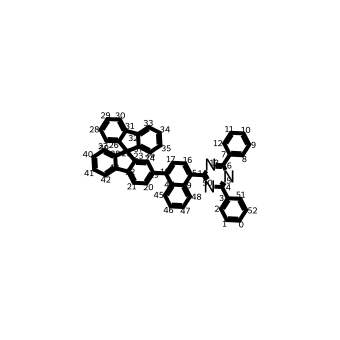 c1ccc(-c2nc(-c3ccccc3)nc(-c3ccc(-c4ccc5c(c4)C4(c6ccccc6-c6ccccc64)c4ccccc4-5)c4ccccc34)n2)cc1